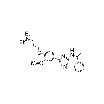 CCN(CC)CCCOc1ccc(-c2cncc(NC(C)c3ccccc3)n2)cc1OC